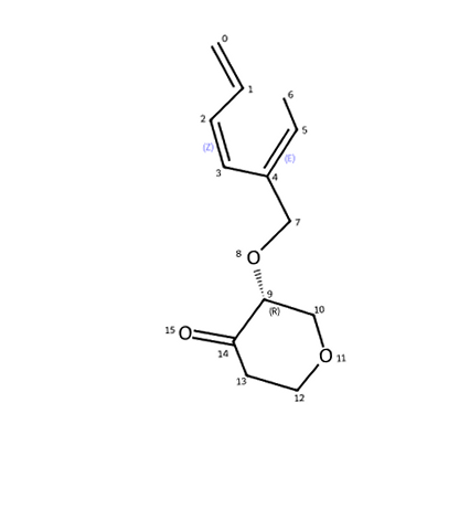 C=C/C=C\C(=C/C)CO[C@@H]1COCCC1=O